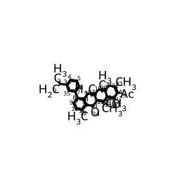 C=C(C)c1cccc(-c2ccc(C)c3c2C[C@]2(C)C[C@]4(C)CC(C)=C(C(C)=O)C(=O)[C@]4(C)C(C)=C2C3=O)c1